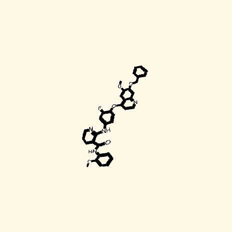 COc1ccccc1NC(=O)c1cccnc1Nc1ccc(Oc2ccnc3cc(OCc4ccccc4)c(OC)cc23)c(F)c1